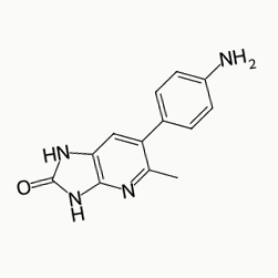 Cc1nc2[nH]c(=O)[nH]c2cc1-c1ccc(N)cc1